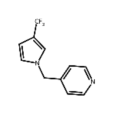 FC(F)(F)c1ccn(Cc2ccncc2)c1